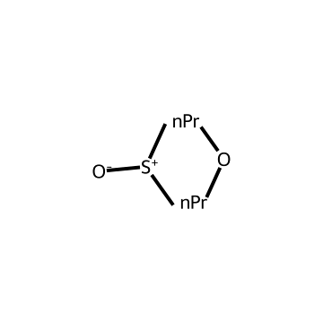 CCCOCCC.C[S+](C)[O-]